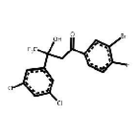 O=C(CC(O)(c1cc(Cl)cc(Cl)c1)C(F)(F)F)c1ccc(F)c(Br)c1